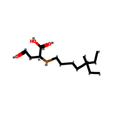 CCC(C)(CC)CCCCSC(CC=O)C(=O)O